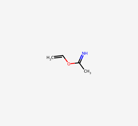 C=COC(C)=N